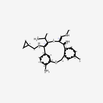 CN/C=C1/C/C(C(C)N)=C(/NCC2CC2)c2cnc(N)c(c2)OCc2cc(F)ccc2C1=N